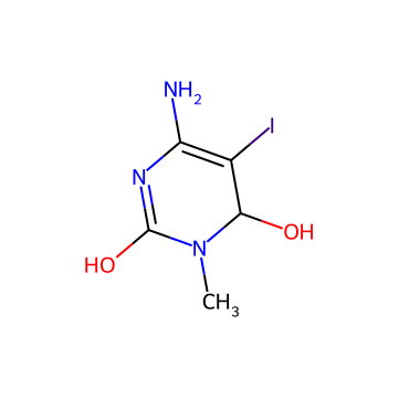 CN1C(O)=NC(N)=C(I)C1O